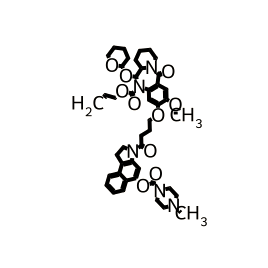 C=CCOC(=O)N1c2cc(OCCCC(=O)N3CCc4c3cc(OC(=O)N3CCN(C)CC3)c3ccccc43)c(OC)cc2C(=O)N2CCCCC2C1OC1CCCCO1